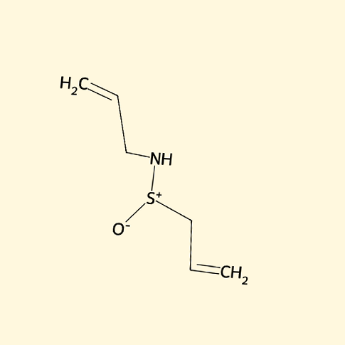 C=CCN[S+]([O-])CC=C